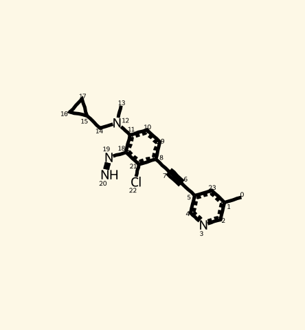 Cc1cncc(C#Cc2ccc(N(C)CC3CC3)c(N=N)c2Cl)c1